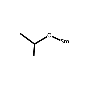 CC(C)[O][Sm]